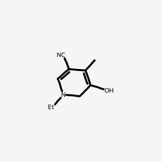 CCN1C=C(C#N)C(C)=C(O)C1